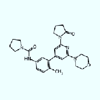 Cc1ccc(NC(=O)N2CCCC2)cc1-c1cc(N2CCOCC2)nc(N2CCCC2=O)c1